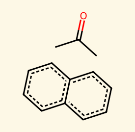 CC(C)=O.c1ccc2ccccc2c1